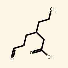 CCCC(CCC=O)CC(=O)O